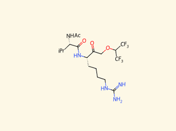 CC(=O)N[C@H](C(=O)N[C@@H](CCCCNC(=N)N)C(=O)COC(C(F)(F)F)C(F)(F)F)C(C)C